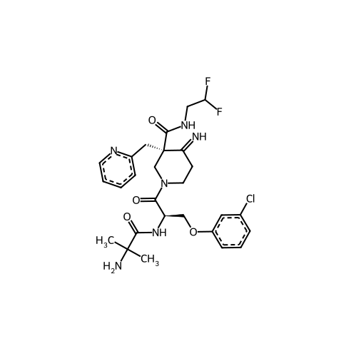 CC(C)(N)C(=O)N[C@H](COc1cccc(Cl)c1)C(=O)N1CCC(=N)[C@](Cc2ccccn2)(C(=O)NCC(F)F)C1